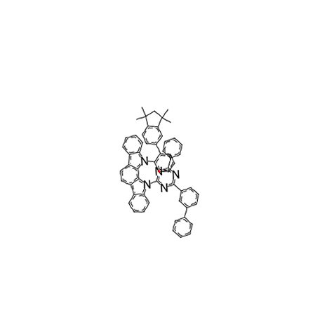 CC1(C)CC(C)(C)c2cc(-c3ccccc3-n3c4ccccc4c4ccc5c6ccccc6n(-c6nc(-c7ccccc7)nc(-c7cccc(-c8ccccc8)c7)n6)c5c43)ccc21